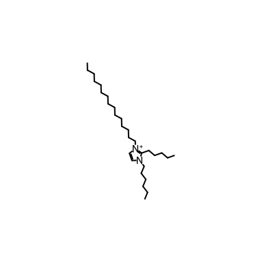 CCCCCCCCCCCCCCC[n+]1ccn(CCCCCC)c1CCCCC